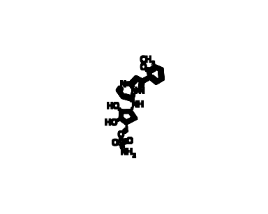 COc1ccccc1-c1cc2nccc(N[C@@H]3C[C@H](COS(N)(=O)=O)[C@@H](O)[C@H]3O)n2n1